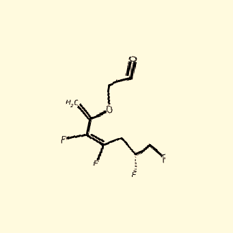 C=C(OCC=O)/C(F)=C(/F)C[C@@H](F)CF